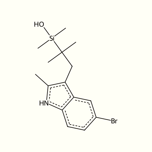 Cc1[nH]c2ccc(Br)cc2c1CC(C)(C)[Si](C)(C)O